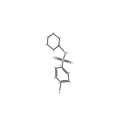 O=S(=O)(OC1CCCCC1)c1ccc(F)cc1